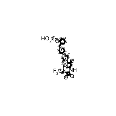 C[C@@H]1CN(c2ncc(Nc3c(NCC(F)(F)F)c(=O)c3=O)cc2Cl)[C@@H](C)CN1C1CCN(Cc2ccccc2OCC(=O)O)CC1